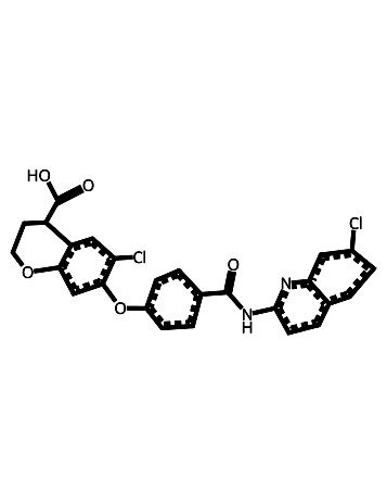 O=C(Nc1ccc2ccc(Cl)cc2n1)c1ccc(Oc2cc3c(cc2Cl)C(C(=O)O)CCO3)cc1